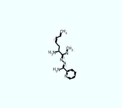 C=C/C=C\CC(N)/C(N=C)=N/N=C(\N)c1ccccn1